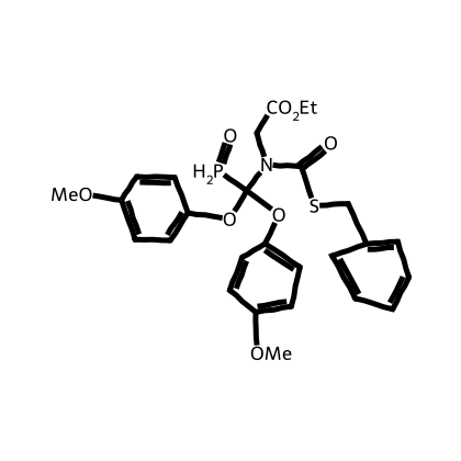 CCOC(=O)CN(C(=O)SCc1ccccc1)C(Oc1ccc(OC)cc1)(Oc1ccc(OC)cc1)[PH2]=O